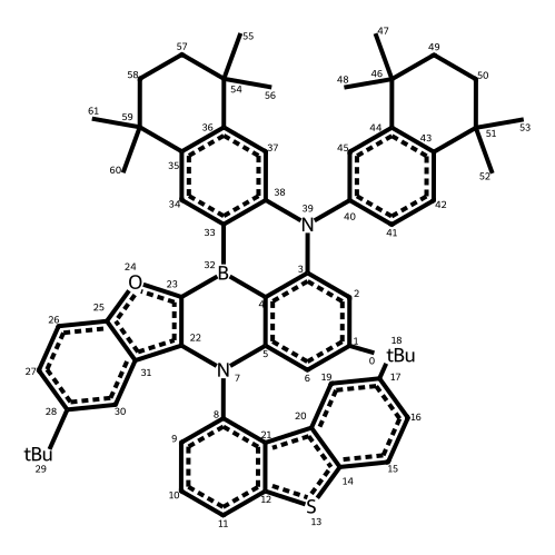 Cc1cc2c3c(c1)N(c1cccc4sc5ccc(C(C)(C)C)cc5c14)c1c(oc4ccc(C(C)(C)C)cc14)B3c1cc3c(cc1N2c1ccc2c(c1)C(C)(C)CCC2(C)C)C(C)(C)CCC3(C)C